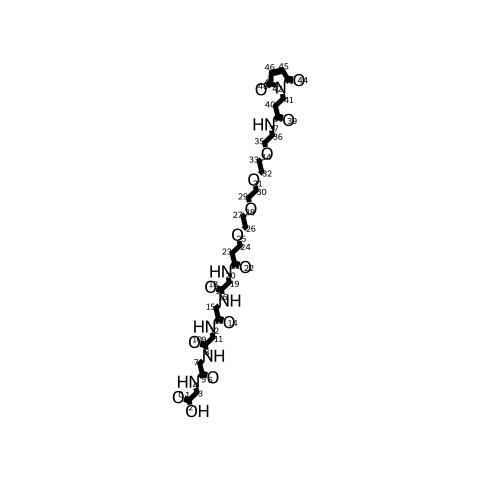 O=C(O)CNC(=O)CNC(=O)CNC(=O)CNC(=O)CNC(=O)CCOCCOCCOCCOCCNC(=O)CCN1C(=O)C=CC1=O